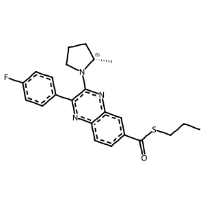 CCCSC(=O)c1ccc2nc(-c3ccc(F)cc3)c(N3CCC[C@@H]3C)nc2c1